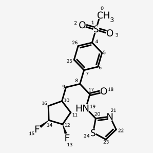 CS(=O)(=O)c1ccc(C(CC2C[C@@H](F)[C@@H](F)C2)C(=O)Nc2nccs2)cc1